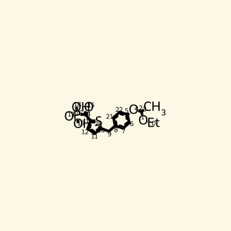 CCOC(C)Oc1ccc(Cc2ccc(C(=O)P(=O)(O)O)s2)cc1